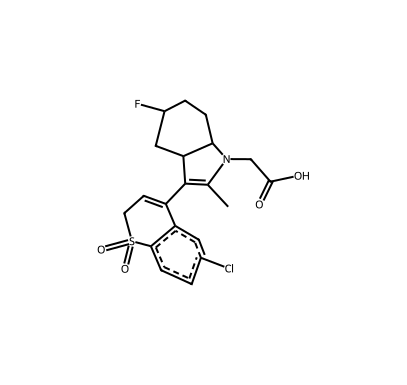 CC1=C(C2=CCS(=O)(=O)c3ccc(Cl)cc32)C2CC(F)CCC2N1CC(=O)O